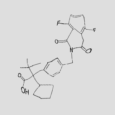 CC(C)(C)C(C(=O)O)(c1ccc(CN2C(=O)c3c(F)ccc(F)c3C2=O)cc1)C1CCCC1